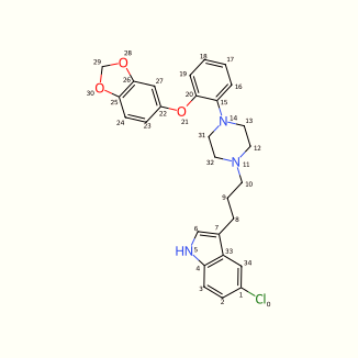 Clc1ccc2[nH]cc(CCCN3CCN(c4ccccc4Oc4ccc5c(c4)OCO5)CC3)c2c1